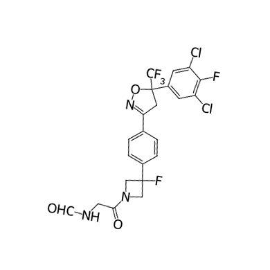 O=CNCC(=O)N1CC(F)(c2ccc(C3=NOC(c4cc(Cl)c(F)c(Cl)c4)(C(F)(F)F)C3)cc2)C1